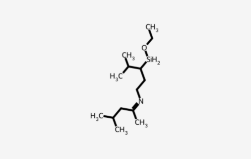 CCO[SiH2]C(CCN=C(C)CC(C)C)C(C)C